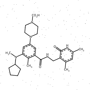 Cc1cc(C)c(CNC(=O)c2cc(N3CCN(C(=O)O)CC3)cc(N(C)C3CCCC3)c2C)c(=O)[nH]1